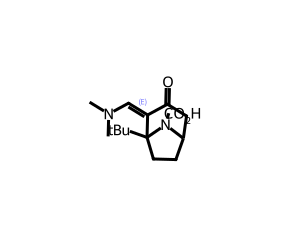 CN(C)/C=C1/C(=O)CC2CCC1(C(C)(C)C)N2C(=O)O